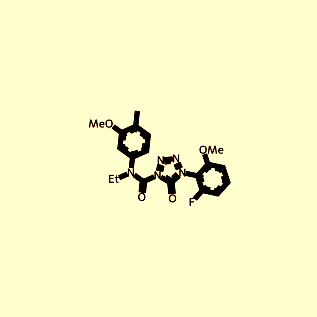 CCN(C(=O)n1nnn(-c2c(F)cccc2OC)c1=O)c1ccc(C)c(OC)c1